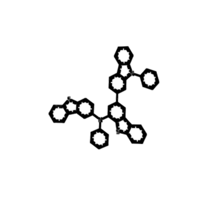 c1ccc(N(c2ccc3sc4ccccc4c3c2)c2cc(-c3ccc4c5ccccc5n(-c5ccccc5)c4c3)cc3c2sc2ccccc23)cc1